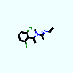 C=C/N=C(\C)N(C)C(=C)c1c(F)cccc1Cl